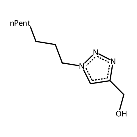 CCCCCCCCn1cc(CO)nn1